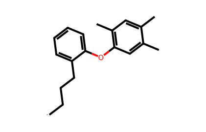 [CH2]CCCc1ccccc1Oc1cc(C)c(C)cc1C